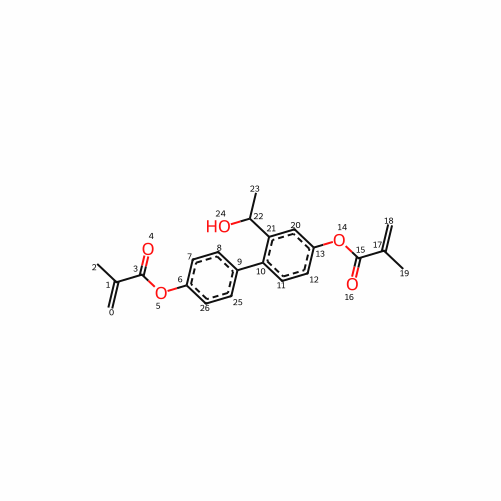 C=C(C)C(=O)Oc1ccc(-c2ccc(OC(=O)C(=C)C)cc2C(C)O)cc1